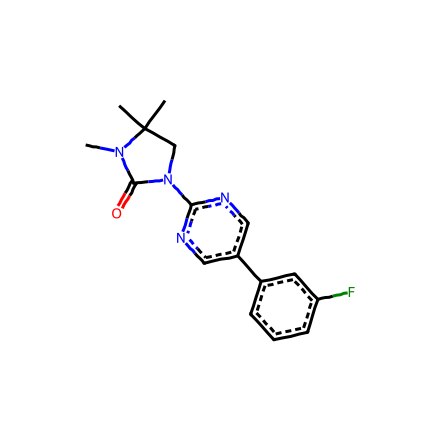 CN1C(=O)N(c2ncc(-c3cccc(F)c3)cn2)CC1(C)C